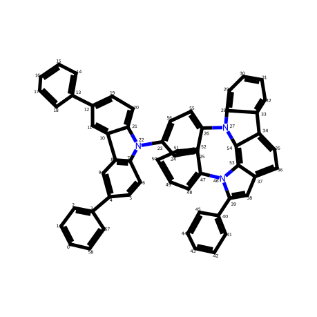 c1ccc(-c2ccc3c(c2)c2cc(-c4ccccc4)ccc2n3-c2ccc(-n3c4ccccc4c4ccc5cc(-c6ccccc6)n(-c6ccccc6)c5c43)cc2)cc1